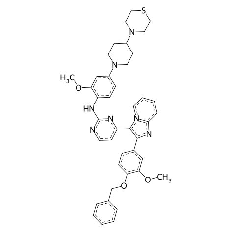 COc1cc(N2CCC(N3CCSCC3)CC2)ccc1Nc1nccc(-c2c(-c3ccc(OCc4ccccc4)c(OC)c3)nc3ccccn23)n1